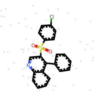 O=S(=O)(c1ccc(Cl)cc1)c1cnc2ccccc2c1-c1ccccc1